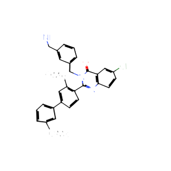 COc1cccc(-c2ccc(-c3nc4ccc(Cl)cc4c(=O)n3Cc3cccc(CN)c3)c(OC)c2)c1